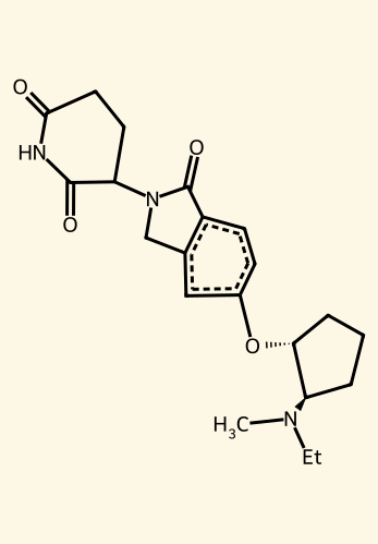 CCN(C)[C@@H]1CCC[C@H]1Oc1ccc2c(c1)CN(C1CCC(=O)NC1=O)C2=O